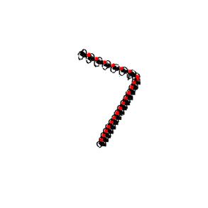 CCO.CCOC(C)=O.CCOC(C)=O.CCOC(C)=O.CCOC(C)=O.CCOC(C)=O.CCOC(C)=O.CCOC(C)=O.CCOC(C)=O.CCOC(C)=O.CCOC(C)=O.CCOC(C)=O.CCOC(C)=O.CCOC(C)=O.CCOC(C)=O.CCOC(C)=O.CCOC(C)=O.CCOC(C)=O.CCOC(C)=O.CCOC(C)=O.CCOC(C)=O.CCOC(C)=O